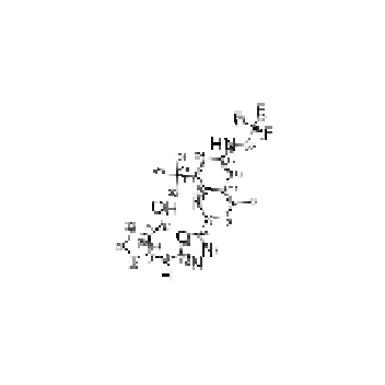 Cc1cc(-c2nnc(N[C@H]3CCC[C@H]3CO)o2)nc2c(C(C)(C)C)cc(NCC(F)(F)F)cc12